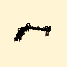 CC(NC(=O)COCCCOCCCCCOc1ncc(N2C(=S)N(c3ccc(C#N)c(C(F)(F)F)c3F)C(=O)C2(C)C)cc1Cl)C(C)(C)C